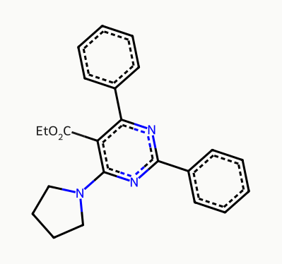 CCOC(=O)c1c(-c2ccccc2)nc(-c2ccccc2)nc1N1CCCC1